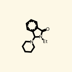 CCN1C(=O)c2ccccc2C1N1CCCCC1